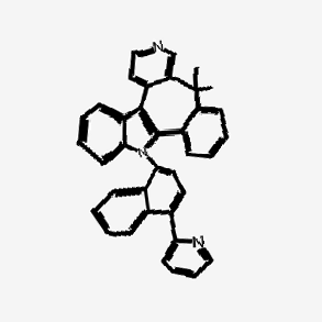 CC1(C)c2cnccc2-c2c(n(-c3ccc(-c4ccccn4)c4ccccc34)c3ccccc23)-c2ccccc21